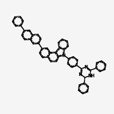 c1ccc(C2=NC(c3ccc(-n4c5ccccc5c5c6cc(-c7ccc8cc(-c9ccccc9)ccc8c7)ccc6ccc54)cc3)=NC(c3ccccc3)N2)cc1